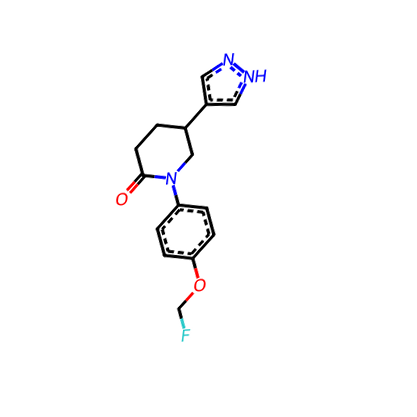 O=C1CCC(c2cn[nH]c2)CN1c1ccc(OCF)cc1